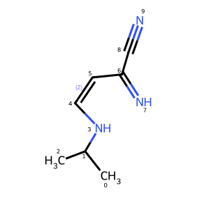 CC(C)N/C=C\C(=N)C#N